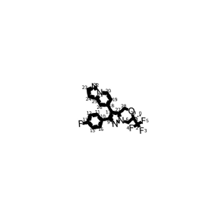 C[C@]1(C(F)(F)F)Cn2nc(-c3ccc(F)cc3)c(-c3ccn4nccc4c3)c2CO1